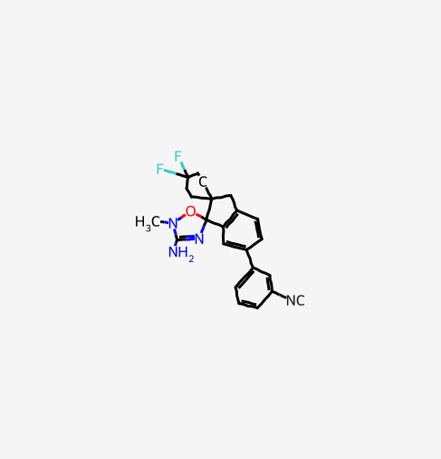 [C-]#[N+]c1cccc(-c2ccc3c(c2)C2(N=C(N)N(C)O2)C2(CCC(F)(F)CC2)C3)c1